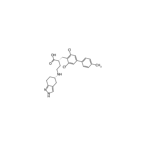 Cc1ccc(-c2cc(Cl)c(C[C@H](CCN[C@H]3CCc4n[nH]cc4C3)C(=O)O)c(Cl)c2)cc1